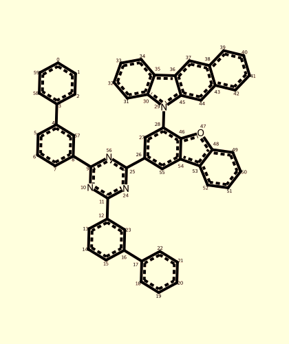 c1ccc(-c2cccc(-c3nc(-c4cccc(-c5ccccc5)c4)nc(-c4cc(-n5c6ccccc6c6cc7ccccc7cc65)c5oc6ccccc6c5c4)n3)c2)cc1